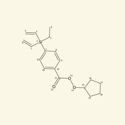 C=C[Si](C=C)(CC)c1ccc(C(=O)OO[C]2CCCC2)cc1